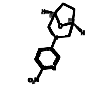 O=[N+]([O-])c1ccc(N2C[C@H]3CC[C@@H](C2)O3)cn1